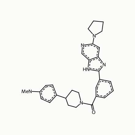 CNc1ccc(C2CCN(C(=O)c3cccc(-c4nc5cc(N6CCCC6)ncc5[nH]4)c3)CC2)cc1